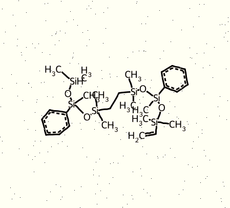 C=C[Si](C)(C)O[Si](C)(O[Si](C)(C)CC[Si](C)(C)O[Si](C)(O[SiH](C)C)c1ccccc1)c1ccccc1